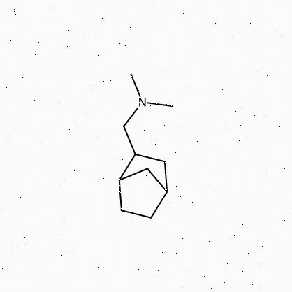 CN(C)CC1CC2CCC1C2